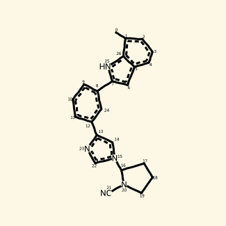 Cc1cccc2cc(-c3cccc(-c4cn(C5CCCN5C#N)cn4)c3)[nH]c12